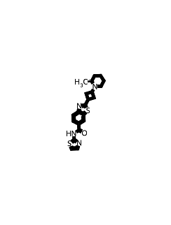 C[C@H]1CCCCN1C1CC(c2nc3ccc(C(=O)Nc4nccs4)cc3s2)C1